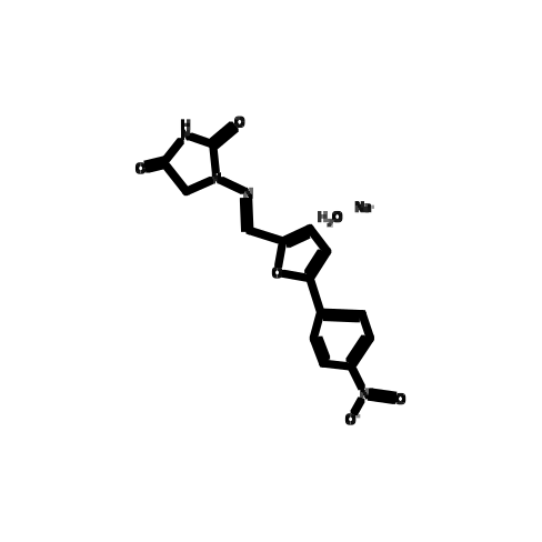 O.O=C1CN(N=Cc2ccc(-c3ccc([N+](=O)[O-])cc3)o2)C(=O)N1.[Na]